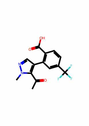 CC(=O)c1c(-c2cc(C(F)(F)F)ccc2C(=O)O)cnn1C